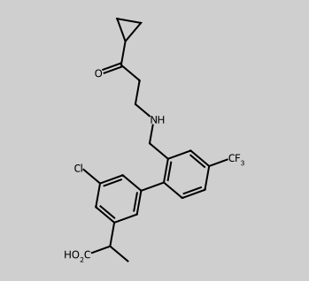 CC(C(=O)O)c1cc(Cl)cc(-c2ccc(C(F)(F)F)cc2CNCCC(=O)C2CC2)c1